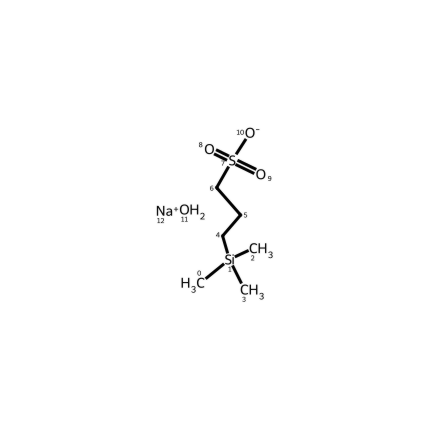 C[Si](C)(C)CCCS(=O)(=O)[O-].O.[Na+]